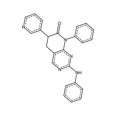 O=C1C(c2cccnc2)Cc2cnc(Nc3ccccc3)nc2N1c1ccccc1